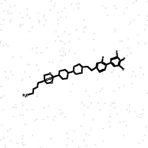 CCCCCC12COC(C3CCC(C4CCC(CCc5ccc(-c6cc(F)c(F)c(F)c6)c(F)c5)CC4)CC3)(OC1)OC2